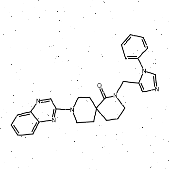 O=C1N(Cc2cncn2-c2ccccc2)CCCC12CCN(c1cnc3ccccc3n1)CC2